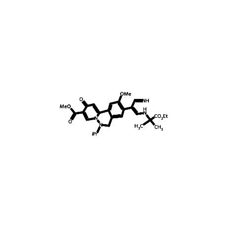 CCOC(=O)C(C)(C)N/C=C(\C=N)c1cc2c(cc1OC)-c1cc(=O)c(C(=O)OC)cn1N(C(C)C)C2